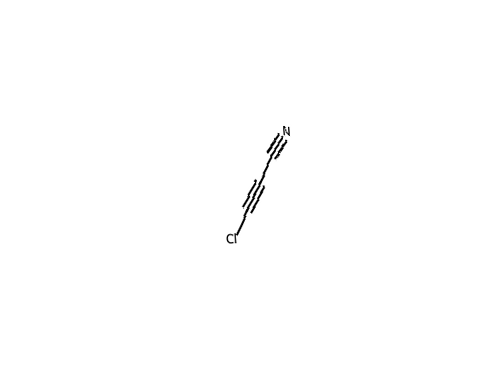 N#CC#CCl